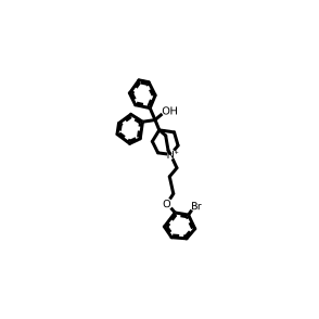 OC(c1ccccc1)(c1ccccc1)C12CC[N+](CCCOc3ccccc3Br)(CC1)CC2